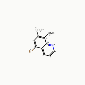 CCOC(=O)c1cc(Br)c2cccnc2c1OC